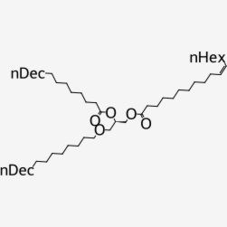 CCCCCC/C=C\CCCCCCCCCC(=O)OC[C@@H](COCCCCCCCCCCCCCCCCCC)OC(=O)CCCCCCCCCCCCCCCCC